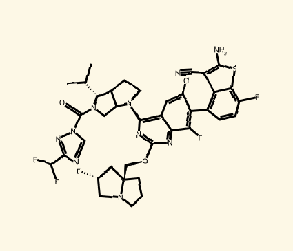 CC(C)[C@@H]1C2CCN(c3nc(OC[C@@]45CCCN4C[C@H](F)C5)nc4c(F)c(-c5ccc(F)c6sc(N)c(C#N)c56)c(Cl)cc34)C2CN1C(=O)n1cnc(C(F)F)n1